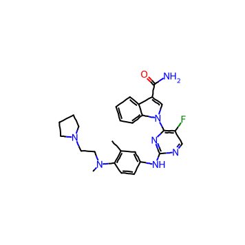 Cc1cc(Nc2ncc(F)c(-n3cc(C(N)=O)c4ccccc43)n2)ccc1N(C)CCN1CCCC1